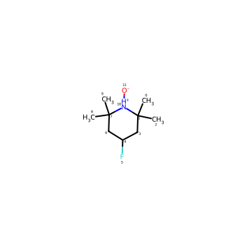 CC1(C)CC(F)CC(C)(C)[NH+]1[O-]